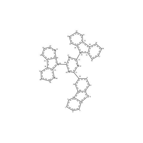 c1ccc2c(c1)oc1ccc(-c3nc(-n4c5ccccc5c5ccccc54)nc(-n4c5ncccc5c5cccnc54)n3)cc12